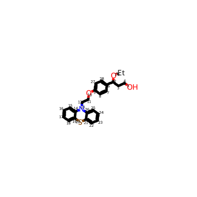 CCOC(CCO)c1ccc(OCCN2c3ccccc3Sc3ccccc32)cc1